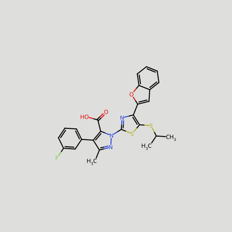 Cc1nn(-c2nc(-c3cc4ccccc4o3)c(SC(C)C)s2)c(C(=O)O)c1-c1cccc(F)c1